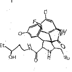 CCC(O)CCNC(=O)C1NC(CC(C)(C)C)C2(C(=O)Nc3cc(Cl)c(F)cc32)C1c1cccc(Cl)c1